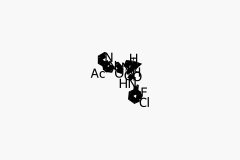 CC(=O)c1cn(CC(=O)N2C[C@H]3C[C@H]3[C@@H]2OC(=O)NCc2cccc(Cl)c2F)c2ncccc12